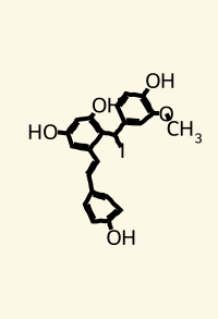 COc1cc(C(I)c2c(O)cc(O)cc2/C=C/c2ccc(O)cc2)ccc1O